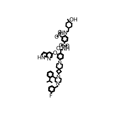 CC(C)c1ccccc1C1CN(Cc2cccc(F)c2)CCN1C1CC2(CCN(c3ccc(C(=O)NS(=O)(=O)c4ccc(NCC5CCC(C)(O)CC5)c([N+](=O)[O-])c4)c(Oc4cnc5[nH]ccc5c4)c3)CC2)C1